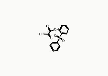 O=C(O)C(=O)O.O=S(=O)(c1ccccc1)c1ccccc1